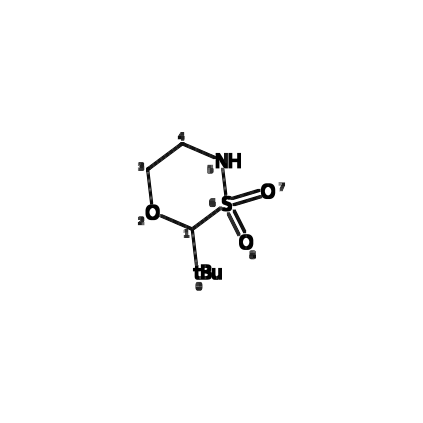 CC(C)(C)C1OCCNS1(=O)=O